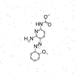 COC(=O)Nc1ccc(/N=N/c2ccccc2OC)c(N)n1